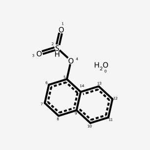 O.O=[SH](=O)Oc1cccc2ccccc12